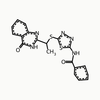 CC(Sc1nnc(NC(=O)c2ccccc2)s1)c1nc2ccccc2c(=O)[nH]1